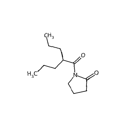 CCCC(CCC)C(=O)N1CCCC1=O